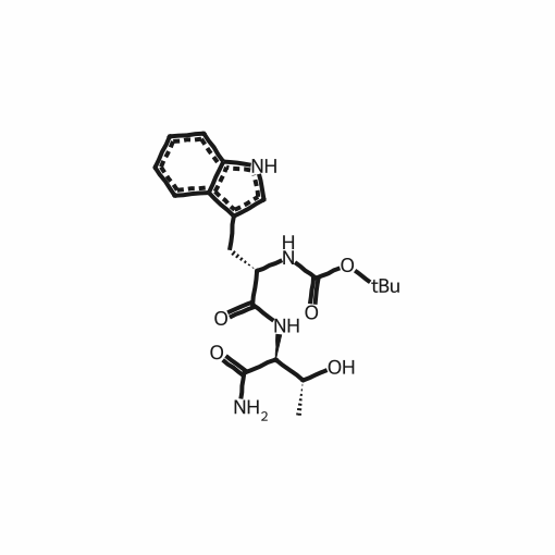 C[C@@H](O)[C@H](NC(=O)[C@H](Cc1c[nH]c2ccccc12)NC(=O)OC(C)(C)C)C(N)=O